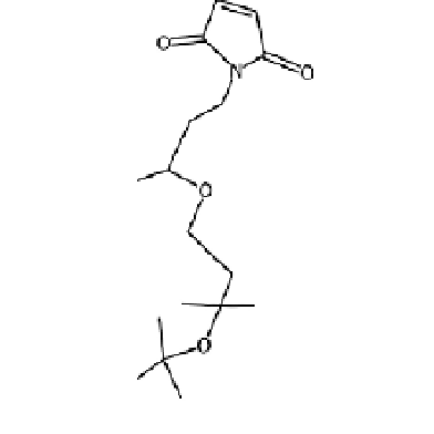 CC(CCN1C(=O)C=CC1=O)OCCC(C)(C)OC(C)(C)C